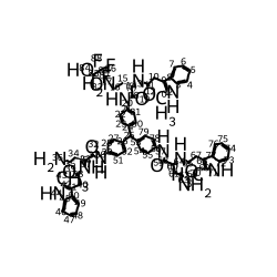 Cc1[nH]c2ccccc2c1CC(=O)N[C@@H](CCN)C(=O)Nc1ccc(C(c2ccc(NC(=O)[C@H](CCN)NC(=O)Cc3c(C)[nH]c4ccccc34)cc2)c2ccc(NC(=O)[C@H](CCN)NC(=O)Cc3c(C)[nH]c4ccccc34)cc2)cc1.O=C(O)C(F)(F)F